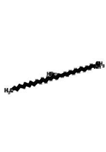 Br.CCCCCCCCCCCCCCCCCCCCCCCCCCCCCCNC